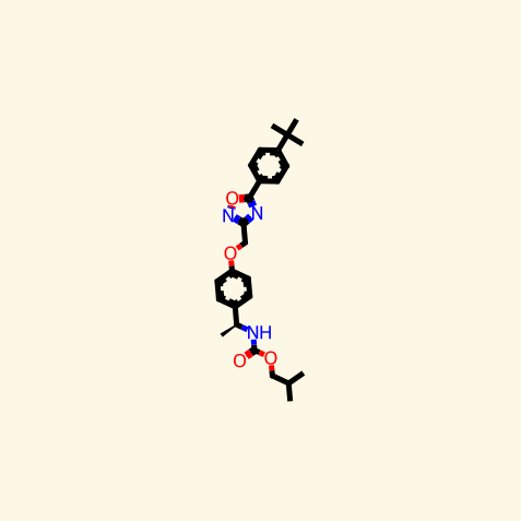 CC(C)COC(=O)N[C@@H](C)c1ccc(OCc2noc(-c3ccc(C(C)(C)C)cc3)n2)cc1